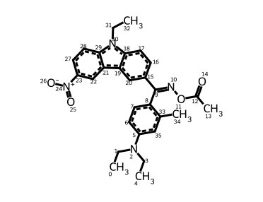 CCN(CC)c1ccc(/C(=N\OC(C)=O)c2ccc3c(c2)c2cc([N+](=O)[O-])ccc2n3CC)c(C)c1